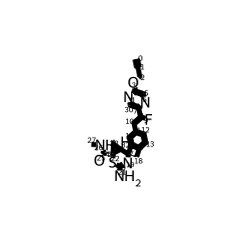 C#CCOc1cnc(/C(F)=C/c2ccc3c(c2)[C@@]2(C3)N=C(N)S[C@@]3(C(=O)NC)C[C@H]32)cn1